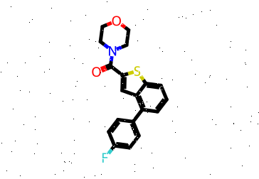 O=C(c1cc2c(-c3ccc(F)cc3)cccc2s1)N1CCOCC1